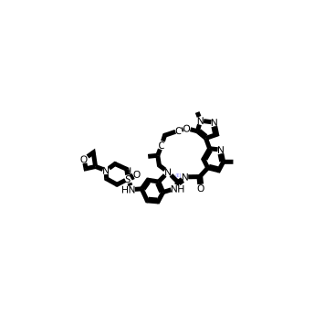 Cc1cc2cc(n1)-c1cnn(C)c1OCCCC(C)CN1/C(=N/C2=O)Nc2ccc(N[SH]3(=O)CCN(C4COC4)CC3)cc21